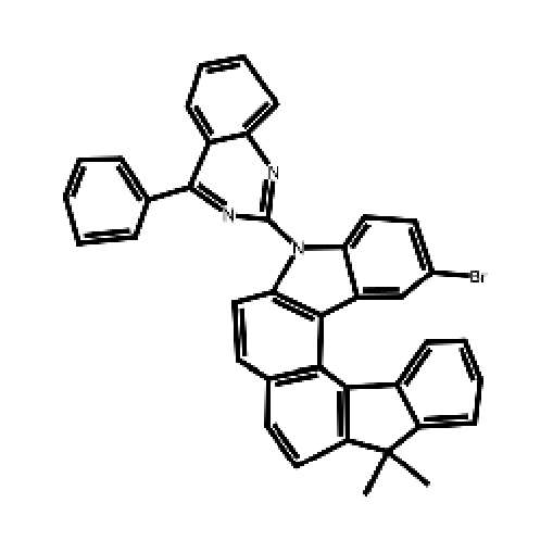 CC1(C)c2ccccc2-c2c1ccc1ccc3c(c4cc(Br)ccc4n3-c3nc(-c4ccccc4)c4ccccc4n3)c21